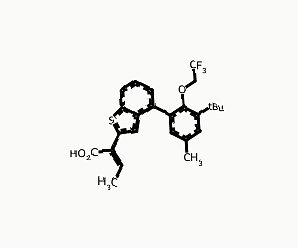 CC=C(C(=O)O)c1cc2c(-c3cc(C)cc(C(C)(C)C)c3OCC(F)(F)F)cccc2s1